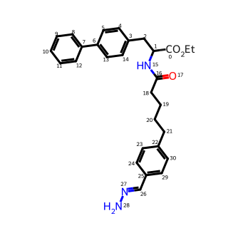 CCOC(=O)C(Cc1ccc(-c2ccccc2)cc1)NC(=O)CCCCc1ccc(C=NN)cc1